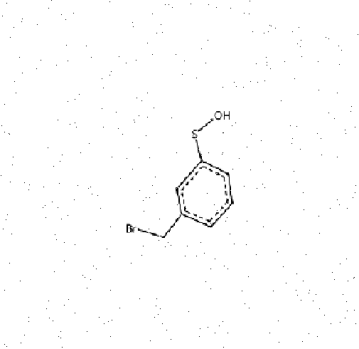 OSc1cccc(CBr)c1